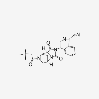 CC(C)(C)CC(=O)N1C[C@H]2CC1[C@H]1C(=O)N(c3cnc(C#N)c4ccccc34)C(=O)N21